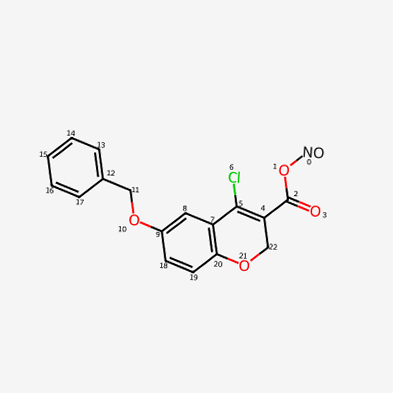 O=NOC(=O)C1=C(Cl)c2cc(OCc3ccccc3)ccc2OC1